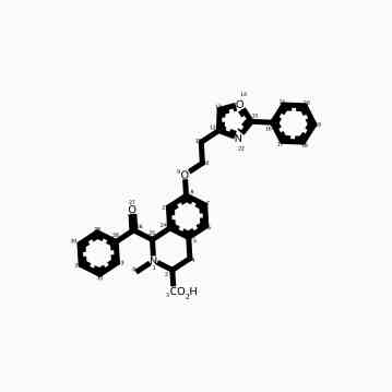 CN1C(C(=O)O)Cc2ccc(OCCc3coc(-c4ccccc4)n3)cc2C1C(=O)c1ccccc1